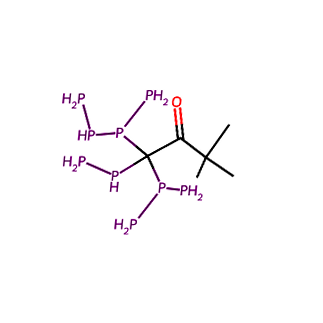 CC(C)(C)C(=O)C(PP)(P(P)P)P(P)PP